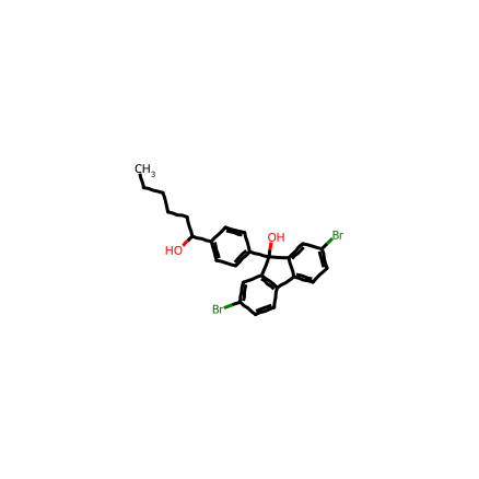 CCCCCC(O)c1ccc(C2(O)c3cc(Br)ccc3-c3ccc(Br)cc32)cc1